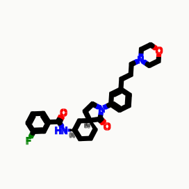 O=C(N[C@H]1CCC[C@]2(CCN(c3cccc(CCCN4CCOCC4)c3)C2=O)C1)c1cccc(F)c1